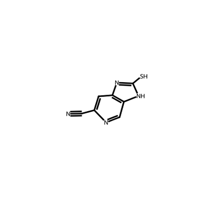 N#Cc1cc2nc(S)[nH]c2cn1